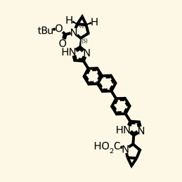 CC(C)(C)OC(=O)N1[C@@H]2C[C@@H]2C[C@H]1c1nc(-c2ccc3cc(-c4ccc(-c5cnc(C6CC7CC7N6C(=O)O)[nH]5)cc4)ccc3c2)c[nH]1